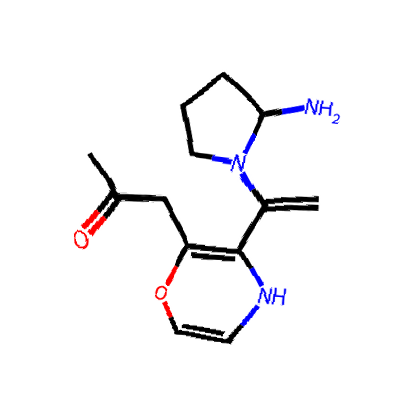 C=C(C1=C(CC(C)=O)OC=CN1)N1CCCC1N